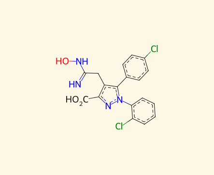 N=C(Cc1c(C(=O)O)nn(-c2ccccc2Cl)c1-c1ccc(Cl)cc1)NO